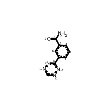 NC(=O)c1cccc(-c2nncnn2)c1